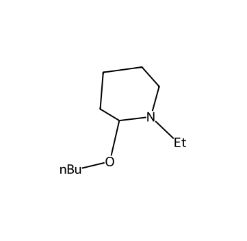 CCCCOC1CCCCN1CC